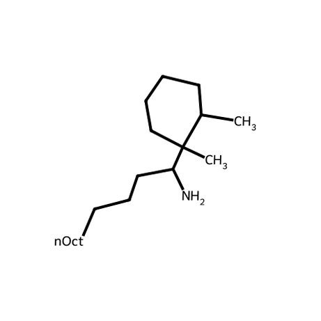 CCCCCCCCCCCC(N)C1(C)CCCCC1C